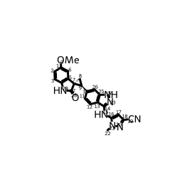 COc1ccc2c(c1)[C@]1(C[C@H]1c1ccc3c(Nc4cc(C#N)nn4C)n[nH]c3c1)C(=O)N2